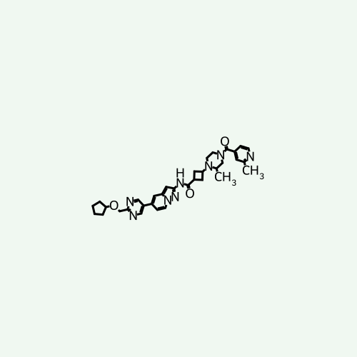 Cc1cc(C(=O)N2CCN(C3CC(C(=O)Nc4cc5cc(-c6cnc(COC7CCCC7)nc6)ccn5n4)C3)C(C)C2)ccn1